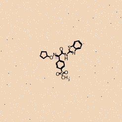 CS(=O)(=O)c1ccc(/C(=N\OC2CCCC2)C(=O)Nc2nc3ccccc3s2)cc1